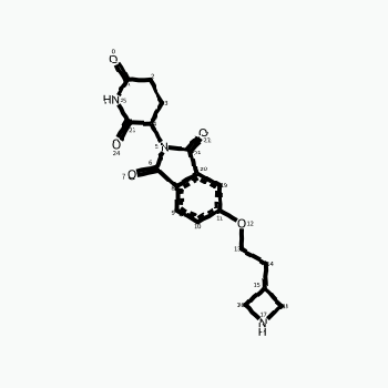 O=C1CCC(N2C(=O)c3ccc(OCCC4CNC4)cc3C2=O)C(=O)N1